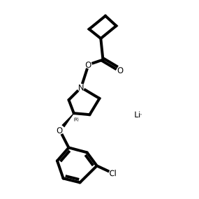 O=C(ON1CC[C@@H](Oc2cccc(Cl)c2)C1)C1CCC1.[Li]